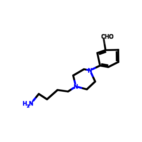 NCCCCN1CCN(c2cccc(C=O)c2)CC1